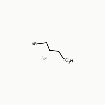 CCCCCCC(=O)O.F